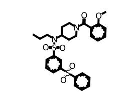 CCCN(C1CCN(C(=O)c2ccccc2OC)CC1)S(=O)(=O)c1cccc(S(=O)(=O)c2ccccc2)c1